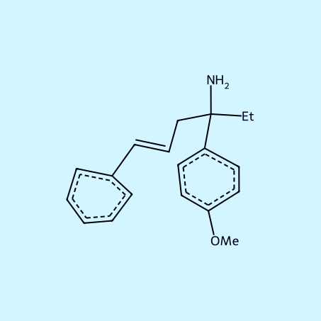 CCC(N)(CC=Cc1ccccc1)c1ccc(OC)cc1